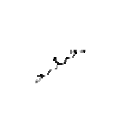 CC(C)NCCCC(=O)CCCNC(C)C